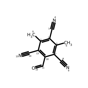 Cc1c(C#N)c(C)c(C#N)c(C=O)c1C#N